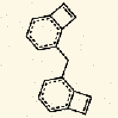 C1=Cc2c1cccc2Cc1cccc2c1C=C2